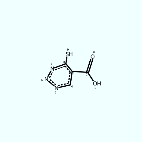 O=C(O)c1cnnnc1S